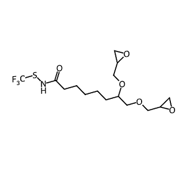 O=C(CCCCCC(COCC1CO1)OCC1CO1)NSC(F)(F)F